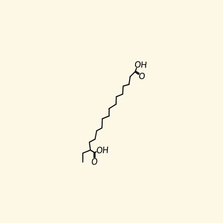 CCC(CCCCCCCCCCCCCC(=O)O)C(=O)O